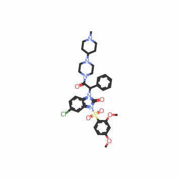 COc1ccc(S(=O)(=O)n2c(=O)n(C(C(=O)N3CCN(C4CCN(C)CC4)CC3)c3ccccc3)c3ccc(Cl)cc32)c(OC)c1